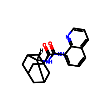 NC(=O)[C@]12CC3CC(C1)[C@@H](NC(=O)c1cccc4cccnc14)C(C3)C2